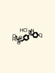 COc1ccc2c(c1)nnn2-c1ccc(CS(=O)(=O)NC=O)cc1.Cl